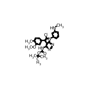 CNc1cccc(-n2c(Cl)c(-c3ccc(C)c(OC)c3)c3c(NC(=O)OC(C)(C)C)ncnc32)c1